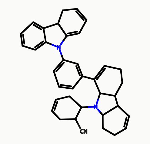 N#CC1CC=CCC1N1C2CCC=CC2C2CCC=C(c3cccc(N4C5=CC=CCC5c5ccccc54)c3)C21